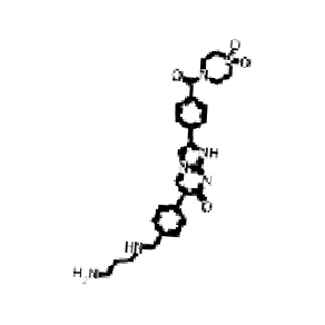 NCCCNCc1ccc(-c2cn3cc(-c4ccc(C(=O)N5CCS(=O)(=O)CC5)cc4)[nH]c3nc2=O)cc1